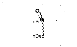 CCCCCCCCCCCCCCCCCCCn1cc(CCCc2ccccc2)nc1CCC